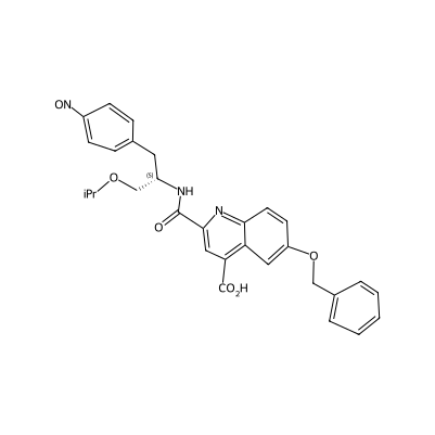 CC(C)OC[C@H](Cc1ccc(N=O)cc1)NC(=O)c1cc(C(=O)O)c2cc(OCc3ccccc3)ccc2n1